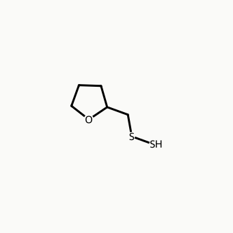 SSCC1CCCO1